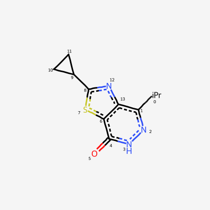 CC(C)c1n[nH]c(=O)c2sc(C3CC3)nc12